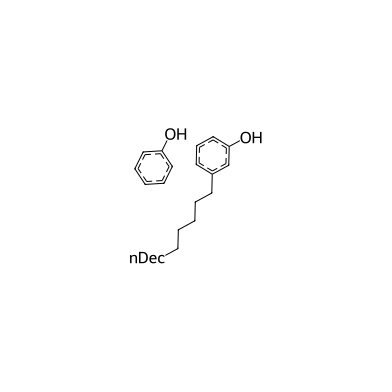 CCCCCCCCCCCCCCCc1cccc(O)c1.Oc1ccccc1